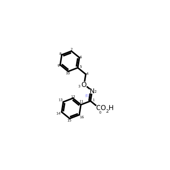 O=C(O)/C(=N/OCc1ccccc1)c1ccccc1